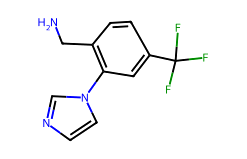 NCc1ccc(C(F)(F)F)cc1-n1ccnc1